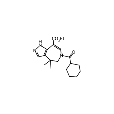 CCOC(=O)C1=CN(C(=O)C2CCCCC2)CC(C)(C)c2cn[nH]c21